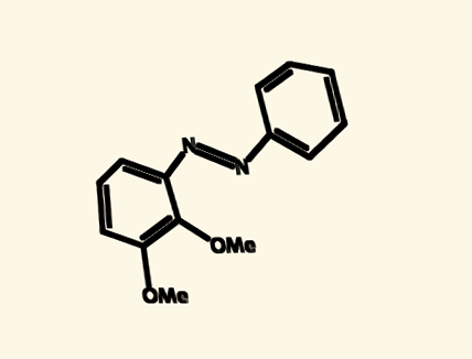 COc1cccc(N=Nc2ccccc2)c1OC